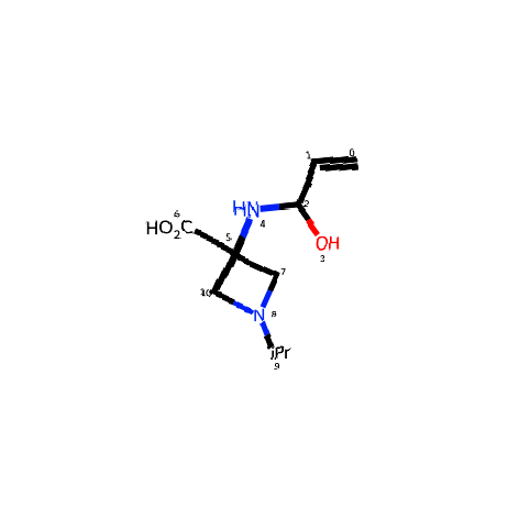 C=CC(O)NC1(C(=O)O)CN(C(C)C)C1